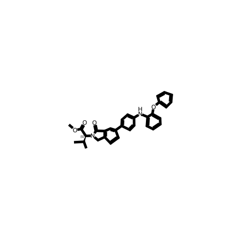 COC(=O)[C@H](C(C)C)N1Cc2ccc(-c3ccc(Nc4ccccc4Oc4ccccc4)cc3)cc2C1=O